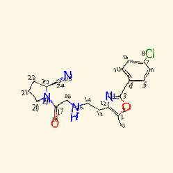 Cc1oc(-c2ccc(Cl)cc2)nc1CCNCC(=O)N1CCC[C@H]1C#N